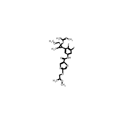 C/N=C(/N)S[C@@]1(COC)C(C)C1c1cc(NC(=O)c2cnc(OCC(C)OC)cn2)cc(F)c1F